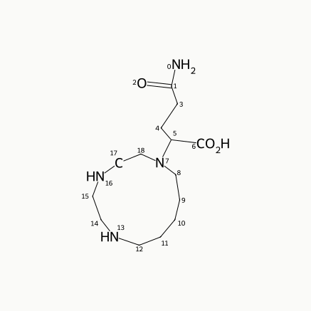 NC(=O)CCC(C(=O)O)N1CCCCCNCCNCC1